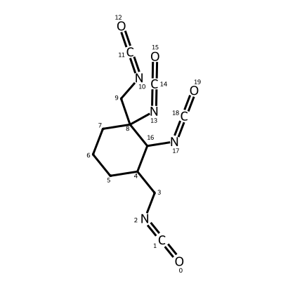 O=C=NCC1CCCC(CN=C=O)(N=C=O)C1N=C=O